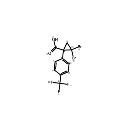 O=C(O)C1(c2ccc(C(F)(F)F)cc2)CC1(Br)Br